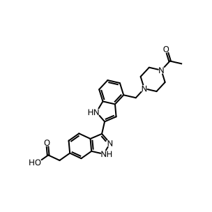 CC(=O)N1CCN(Cc2cccc3[nH]c(-c4n[nH]c5cc(CC(=O)O)ccc45)cc23)CC1